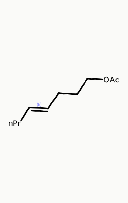 CCC/C=C/CCCOC(C)=O